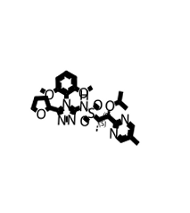 COc1cccc(OC)c1-n1c(NS(=O)(=O)[C@@H](C)[C@@H](OC(C)C)c2ncc(C)cn2)nnc1C1CCCO1